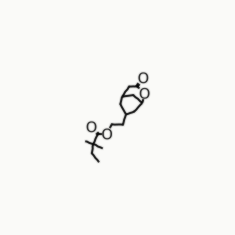 CCC(C)(C)C(=O)OCCC1CC2CC(=O)OC(C1)C2